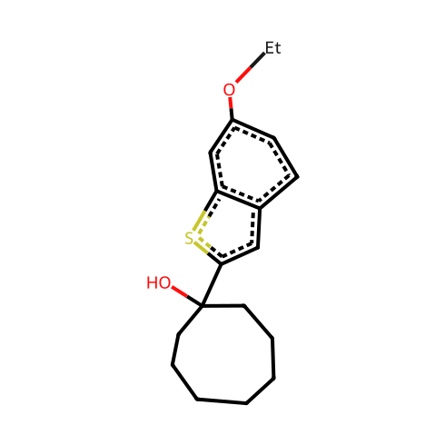 CCOc1ccc2cc(C3(O)CCCCCCC3)sc2c1